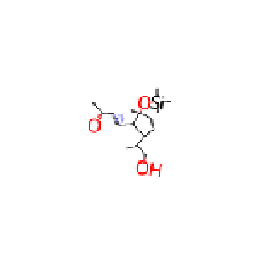 CC(=O)/C=C/C1C(C(C)CO)CCC1(C)O[Si](C)(C)C